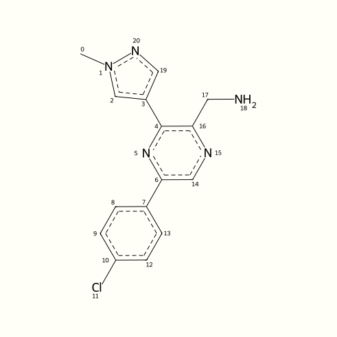 Cn1cc(-c2nc(-c3ccc(Cl)cc3)cnc2CN)cn1